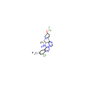 CC(Nc1ncnc2c(Cl)cc(C(F)(F)F)cc12)c1nccnc1-c1ccc(OC(F)F)cn1